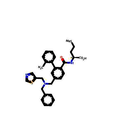 CSCC[C@H](NC(=O)c1ccc(CN(Cc2ccccc2)Cc2cncs2)cc1-c1ccccc1C)C(=O)O